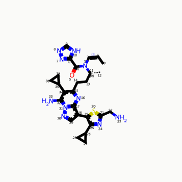 C/C=C\N(C(=O)c1nnc[nH]1)[C@H](C)CCc1nc2c(-c3sc(CN)nc3C3CC3)cnn2c(N)c1C1CC1